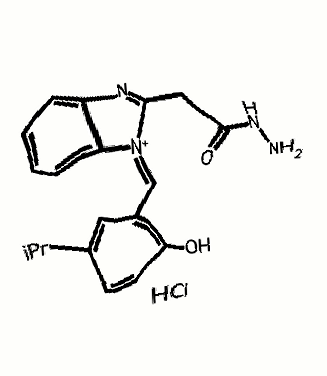 CC(C)c1ccc(O)c(C=[N+]2C(CC(=O)NN)=Nc3ccccc32)c1.Cl